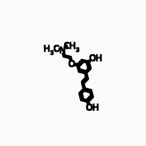 CN(C)CCOc1cc(O)cc(C=Cc2ccc(O)cc2)c1